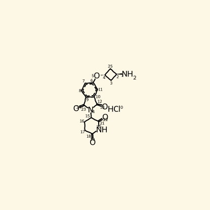 Cl.N[C@H]1C[C@H](Oc2ccc3c(c2)C(=O)N(C2CCC(=O)NC2=O)C3=O)C1